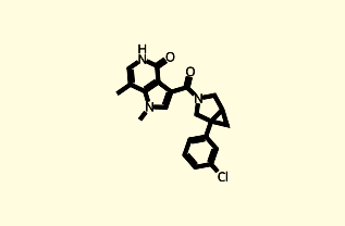 Cc1c[nH]c(=O)c2c(C(=O)N3CC4CC4(c4cccc(Cl)c4)C3)cn(C)c12